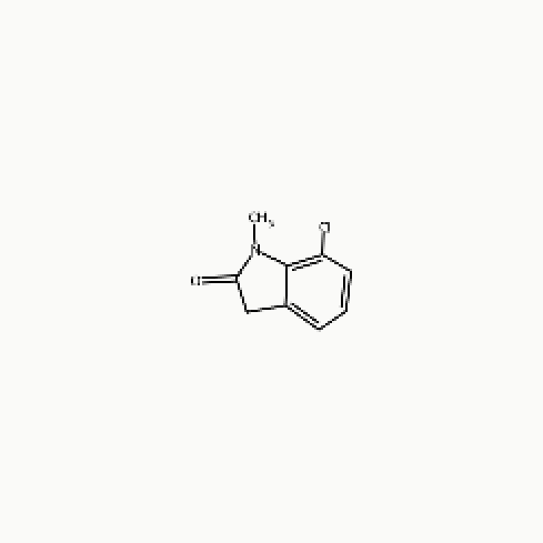 CN1C(=O)Cc2cccc(Cl)c21